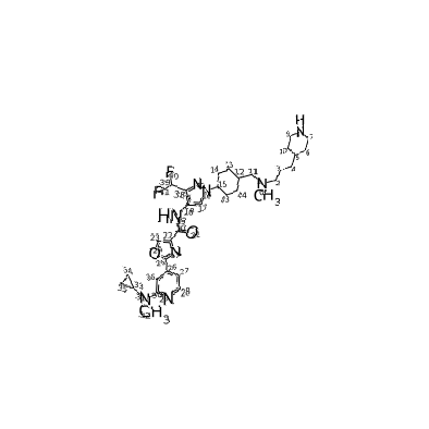 CN(CCCC1CCNCC1)CC1CCC(n2cc(NC(=O)c3coc(-c4ccnc(N(C)C5CC5)c4)n3)c(C(F)F)n2)CC1